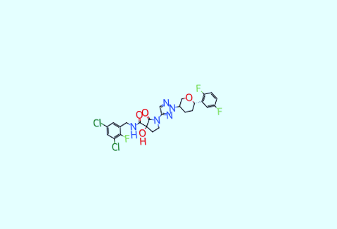 O=C(NCc1cc(Cl)cc(Cl)c1F)C1(O)CCN(c2cnn(C3CC[C@@H](c4cc(F)ccc4F)OC3)n2)C1=O